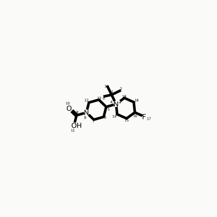 CC(C)(C)[N+]1(C2CCN(C(=O)O)CC2)CCC(F)CC1